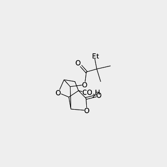 CCC(C)(C)C(=O)OC1C2CC3(C(=O)O)C(=O)OC1C3O2